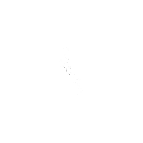 C[C@@H](Nc1cnc(/C=C/C(=O)NOC2CCCCO2)cn1)C(=O)N(C)CC1CCCCC1